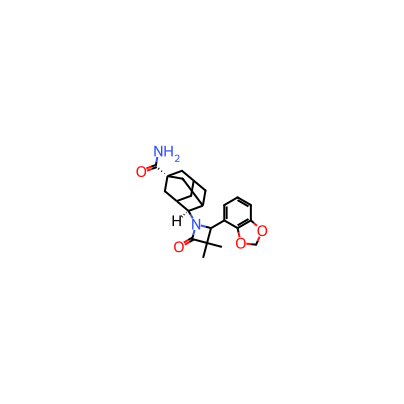 CC1(C)C(=O)N([C@H]2C3CC4CC2C[C@](C(N)=O)(C4)C3)C1c1cccc2c1OCO2